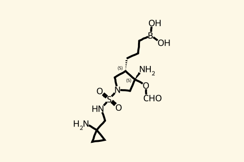 NC1(CNS(=O)(=O)N2C[C@H](CCCB(O)O)[C@](N)(OC=O)C2)CC1